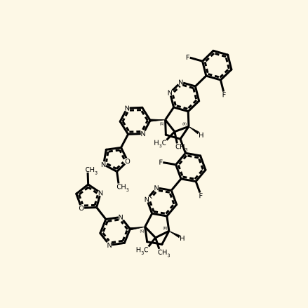 Cc1coc(-c2cncc([C@@]34CC[C@@H](c5cc(-c6c(F)ccc(C7C[C@]8(c9cncc(-c%10cnc(C)o%10)n9)c9nnc(-c%10c(F)cccc%10F)cc9[C@H]7C8(C)C)c6F)nnc53)C4(C)C)n2)n1